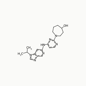 CC(C)n1cnc2cnc(Nc3ccnc(N4CCCC(O)CC4)n3)cc21